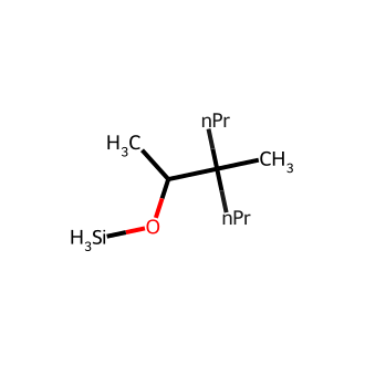 CCCC(C)(CCC)C(C)O[SiH3]